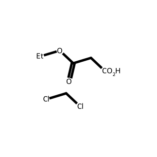 CCOC(=O)CC(=O)O.ClCCl